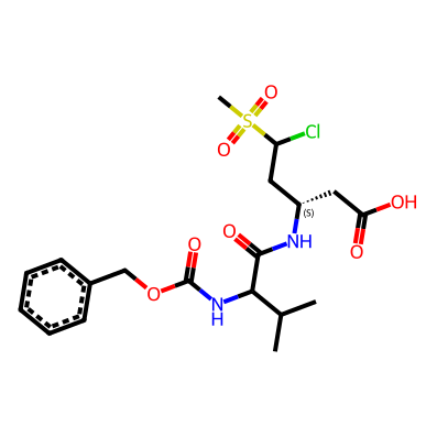 CC(C)C(NC(=O)OCc1ccccc1)C(=O)N[C@@H](CC(=O)O)CC(Cl)S(C)(=O)=O